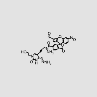 NN=NC1NC(=O)N(CCO)C=C1C#CCN(N)C(=O)c1ccc2c(c1)C1(OC2=O)c2ccc(N=O)cc2Oc2cc(N=O)ccc21